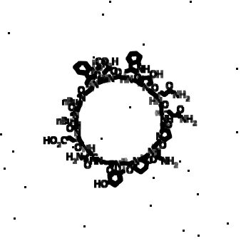 CCCC[C@H]1C(=O)N(C)[C@@H](CCCC)C(=O)N[C@@H](CCC(=O)O)C(=O)N[C@H](C(N)=O)CNCC(=O)N[C@@H](Cc2ccc(O)cc2)C(=O)N2CCCC[C@H]2C(=O)N[C@@H](CC(N)=O)C(=O)N2CCC[C@H]2C(=O)N[C@@H](CCC(N)=O)C(=O)N[C@@H](CCC(N)=O)C(=O)N2C[C@H](O)C[C@H]2C(=O)N[C@@H](Cc2c[nH]c3ccccc23)C(=O)N[C@@H](CC(N)=O)C(=O)N[C@@H](Cc2cn(CC(=O)O)c3ccccc23)C(=O)N1C